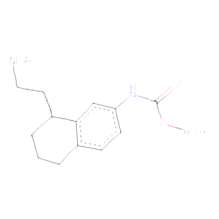 CCCCCCOC(=O)Nc1ccc2c(c1)C(CCNC(C)=O)CCC2